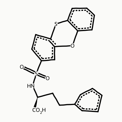 O=C(O)[C@H](CCc1ccccc1)NS(=O)(=O)c1ccc2c(c1)Oc1ccccc1S2